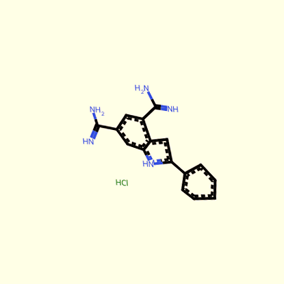 Cl.N=C(N)c1cc(C(=N)N)c2cc(-c3ccccc3)[nH]c2c1